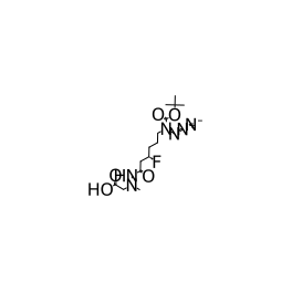 CN(CC(=O)O)NC(=O)C[C@H](F)CCCN(N=[N+]=[N-])C(=O)OC(C)(C)C